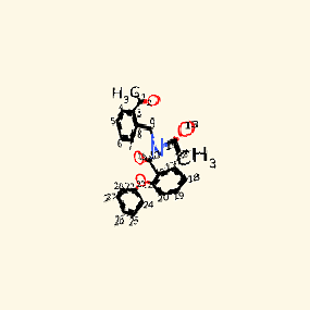 CC(=O)c1ccccc1CN(C(C)=O)C(=O)c1ccccc1Oc1ccccc1